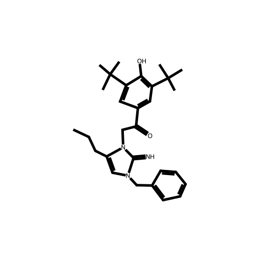 CCCc1cn(Cc2ccccc2)c(=N)n1CC(=O)c1cc(C(C)(C)C)c(O)c(C(C)(C)C)c1